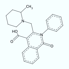 CC1CCCCN1Cc1c(C(=O)O)c2ccccc2c(=O)n1-c1ccccc1